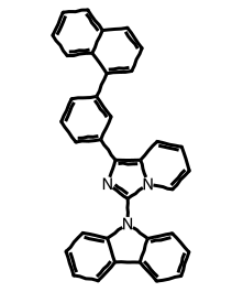 c1cc(-c2cccc3ccccc23)cc(-c2nc(-n3c4ccccc4c4ccccc43)n3ccccc23)c1